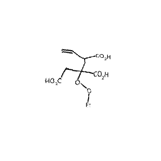 C=CC(C(=O)O)C(CC(=O)O)(OOCC)C(=O)O